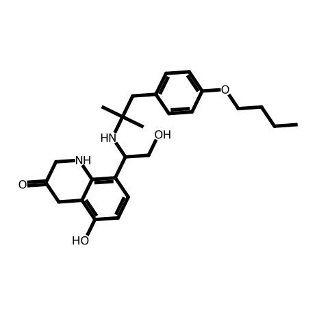 CCCCOc1ccc(CC(C)(C)NC(CO)c2ccc(O)c3c2NCC(=O)C3)cc1